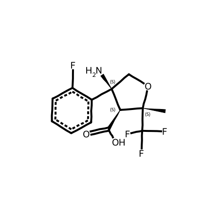 C[C@]1(C(F)(F)F)OC[C@@](N)(c2ccccc2F)[C@@H]1C(=O)O